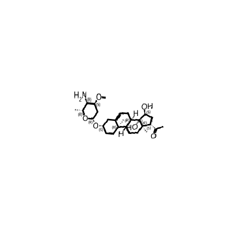 CO[C@H]1C[C@H](O[C@H]2CC[C@@]3(C)C(=CC[C@@H]4[C@@H]3CC[C@]3(C)[C@@H](C(C)=O)C[C@H](O)[C@]43O)C2)O[C@H](C)[C@H]1N